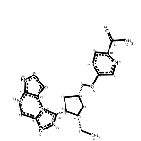 CC[C@H]1C[C@@H](COc2cnc(C(N)=O)cn2)C[C@H]1c1nnc2cnc3[nH]ccc3n12